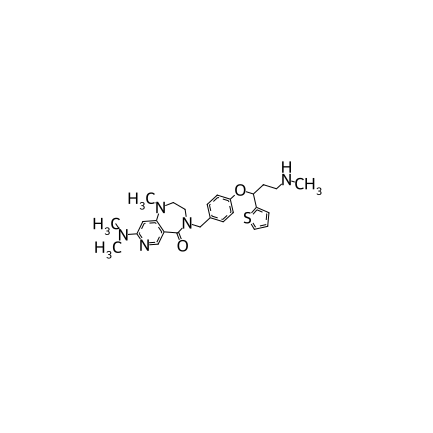 CNCCC(Oc1ccc(CN2CCN(C)c3cc(N(C)C)ncc3C2=O)cc1)c1cccs1